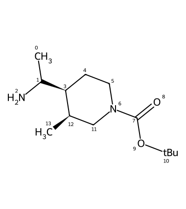 CC(N)[C@H]1CCN(C(=O)OC(C)(C)C)C[C@H]1C